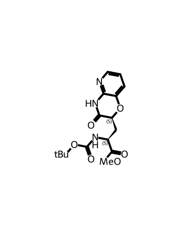 COC(=O)[C@H](C[C@@H]1Oc2cccnc2NC1=O)NC(=O)OC(C)(C)C